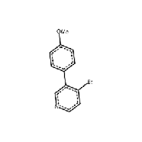 CCc1ccncc1-c1ccc(OC)cc1